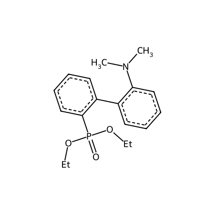 CCOP(=O)(OCC)c1ccccc1-c1ccccc1N(C)C